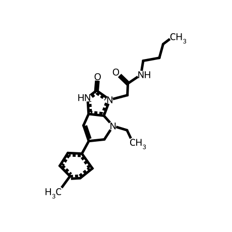 CCCCNC(=O)Cn1c2c([nH]c1=O)C=C(c1ccc(C)cc1)CN2CC